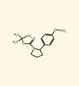 COc1ccc(C2CCCN2C(=O)OC(C)(C)C)cc1